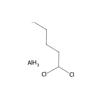 [AlH3].[CH2]CCCC(Cl)Cl